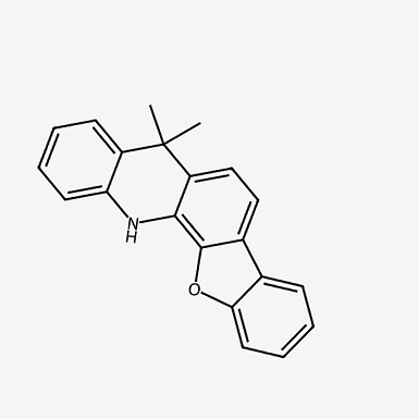 CC1(C)c2ccccc2Nc2c1ccc1c2oc2ccccc21